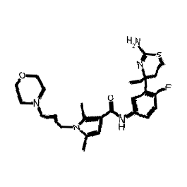 Cc1cc(C(=O)Nc2ccc(F)c(C3(C)CCSC(N)=N3)c2)c(C)n1CCCN1CCOCC1